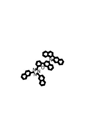 c1ccc2cc(-c3nc(-c4ccc5ccccc5c4)nc(-c4cccc5c4oc4c6ccccc6c(-n6c7cc8ccccc8cc7c7ccc8ccccc8c76)cc54)n3)ccc2c1